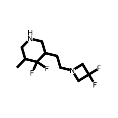 CC1CNCC(CCN2CC(F)(F)C2)C1(F)F